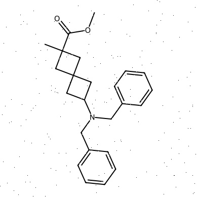 COC(=O)C1(C)CC2(CC(N(Cc3ccccc3)Cc3ccccc3)C2)C1